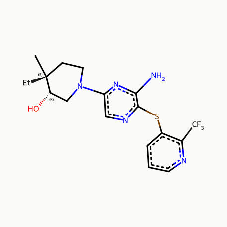 CC[C@@]1(C)CCN(c2cnc(Sc3cccnc3C(F)(F)F)c(N)n2)C[C@@H]1O